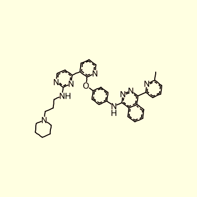 Cc1cccc(-c2nnc(Nc3ccc(Oc4ncccc4-c4ccnc(NCCCN5CCCCC5)n4)cc3)c3ccccc23)n1